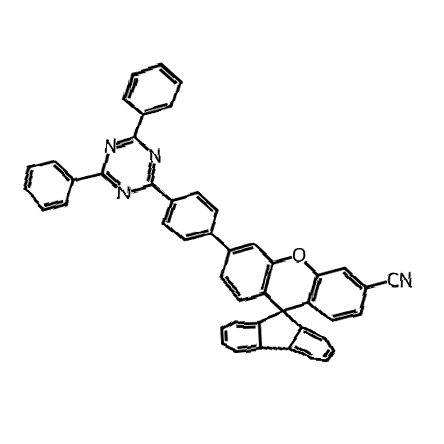 N#Cc1ccc2c(c1)Oc1cc(-c3ccc(-c4nc(-c5ccccc5)nc(-c5ccccc5)n4)cc3)ccc1C21c2ccccc2-c2ccccc21